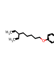 C=CC(C=C)CCCCCOc1ccccc1